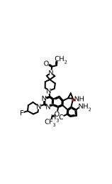 C=CC(=O)N1CC2(CCN(c3nc(N4CCC(F)CC4)nc4c(OCC(F)(F)F)c(-c5c(C)ccc(N)c5C=N)c(C5CC5)cc34)CC2)C1